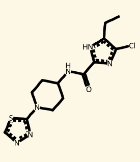 CCc1[nH]c(C(=O)NC2CCN(c3nncs3)CC2)nc1Cl